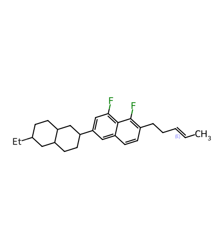 C/C=C/CCc1ccc2cc(C3CCC4CC(CC)CCC4C3)cc(F)c2c1F